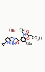 Br.CC(C)(C)c1cc(C(=O)CN2Cc3ccc(C4CC4)nc3C2=N)cc2c1OC(CC(=O)O)C(=O)N2CC#N